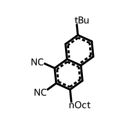 CCCCCCCCc1cc2ccc(C(C)(C)C)cc2c(C#N)c1C#N